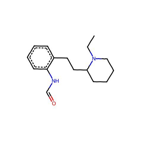 CCN1CCCCC1CCc1ccccc1NC=O